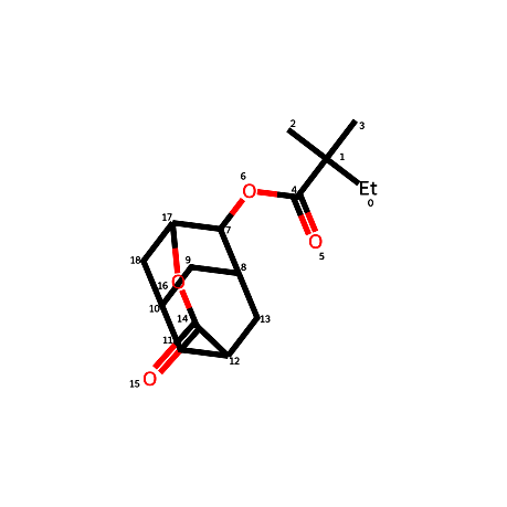 CCC(C)(C)C(=O)OC1C2CC3CC(C2)C(=O)OC1C3